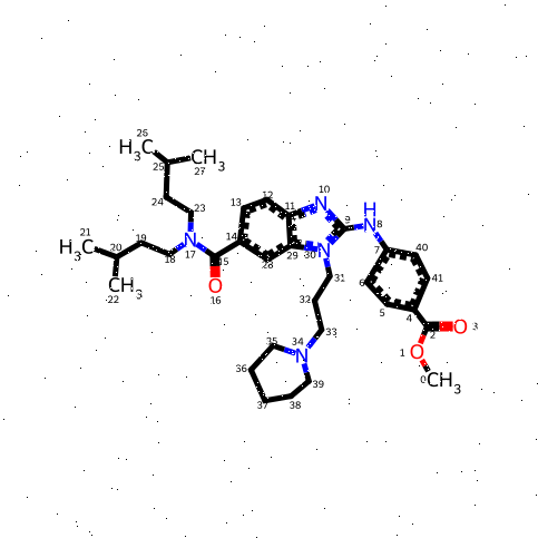 COC(=O)c1ccc(Nc2nc3ccc(C(=O)N(CCC(C)C)CCC(C)C)cc3n2CCCN2CCCCC2)cc1